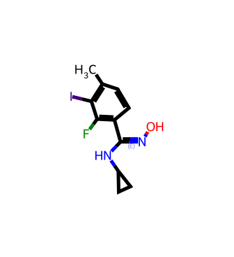 Cc1ccc(/C(=N\O)NC2CC2)c(F)c1I